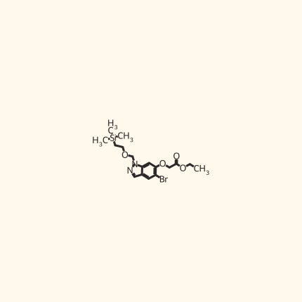 CCOC(=O)COc1cc2c(cnn2COCC[Si](C)(C)C)cc1Br